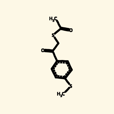 CSc1ccc(C(=O)CSC(C)=O)cc1